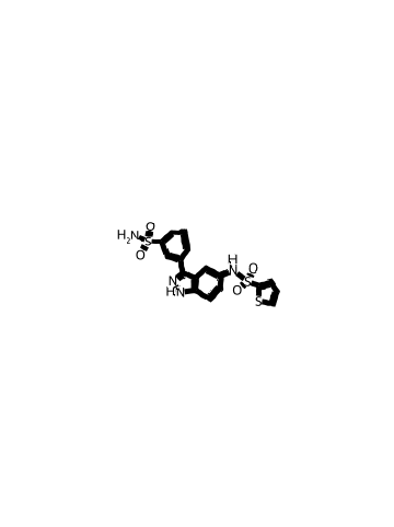 NS(=O)(=O)c1cccc(-c2n[nH]c3ccc(NS(=O)(=O)c4cccs4)cc23)c1